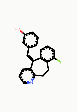 Oc1cccc(/C=C2/c3cccnc3CCc3c(F)cccc32)c1